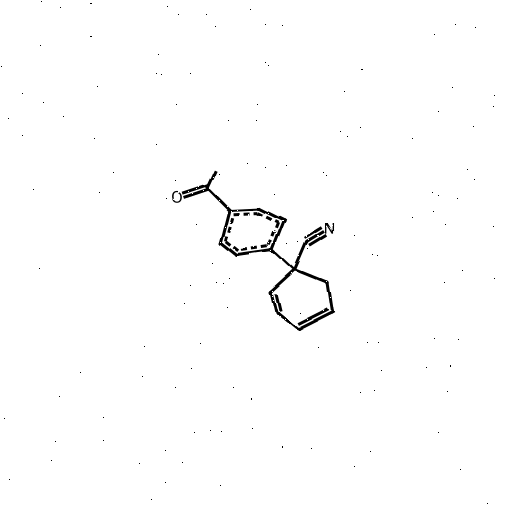 CC(=O)c1ccc(C2(C#N)C=CC=CC2)cc1